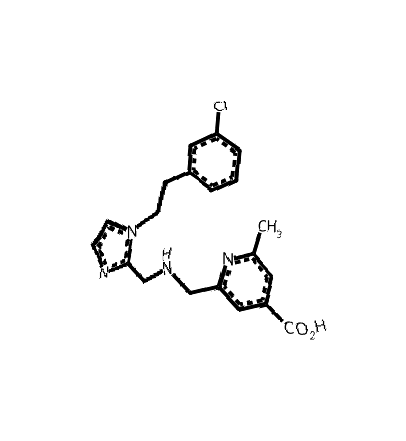 Cc1cc(C(=O)O)cc(CNCc2nccn2CCc2cccc(Cl)c2)n1